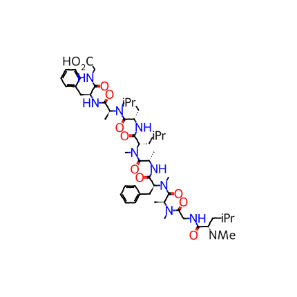 CN[C@@H](CC(C)C)C(=O)NCC(=O)N(C)[C@@H](C)C(=O)N(C)[C@@H](Cc1ccccc1)C(=O)N[C@@H](C)C(=O)N(C)[C@@H](CC(C)C)C(=O)N[C@@H](CC(C)C)C(=O)N(C)[C@@H](C)C(=O)N[C@@H](Cc1ccccc1)C(=O)NCC(=O)O